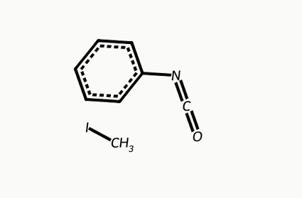 CI.O=C=Nc1ccccc1